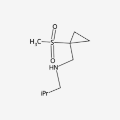 CC(C)CNCC1(S(C)(=O)=O)CC1